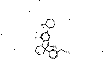 NCc1cccc(C2(C(N)=O)CCCCN2c2ccc(N3CCCCC3=O)cc2F)c1